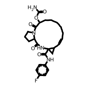 NC(=O)OC1CCCCCC=CC2CC2(C(=O)Nc2ccc(F)cc2)NC(=O)C2CCCN2C1=O